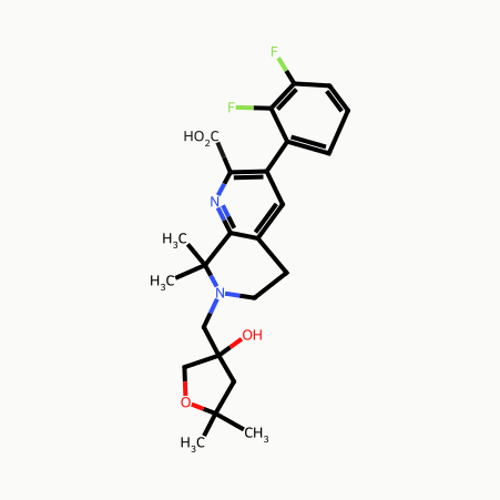 CC1(C)CC(O)(CN2CCc3cc(-c4cccc(F)c4F)c(C(=O)O)nc3C2(C)C)CO1